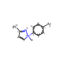 CC(=O)c1ccc([N+]2(C)C=CC(C(C)C)=N2)cc1